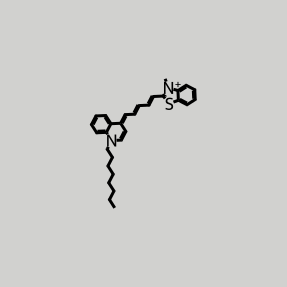 CCCCCCCCN1C=C\C(=C/C=C/C=C/c2sc3ccccc3[n+]2C)c2ccccc21